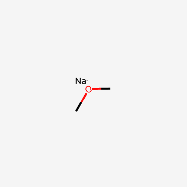 COC.[Na]